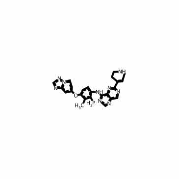 Cc1c(Oc2ccn3ncnc3c2)ccc(Nc2ncnc3cnc(C4=CCNCC4)nc23)c1P